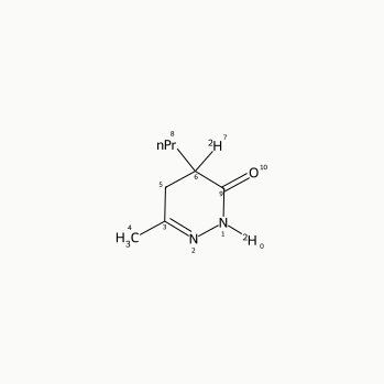 [2H]N1N=C(C)CC([2H])(CCC)C1=O